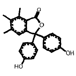 Cc1cc2c(c(C)c1C)C(=O)OC2(c1ccc(O)cc1)c1ccc(O)cc1